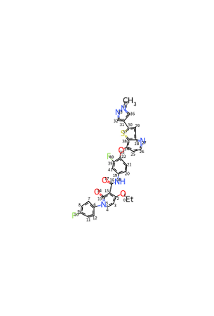 CCOc1ccn(-c2ccc(F)cc2)c(=O)c1C(=O)Nc1ccc(Oc2ccnc3cc(-c4cnn(C)c4)sc23)c(F)c1